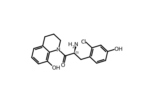 N[C@@H](Cc1ccc(O)cc1Cl)C(=O)N1CCCc2cccc(O)c21